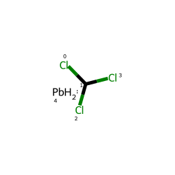 ClC(Cl)Cl.[PbH2]